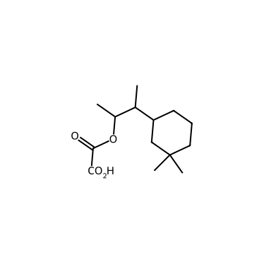 CC(OC(=O)C(=O)O)C(C)C1CCCC(C)(C)C1